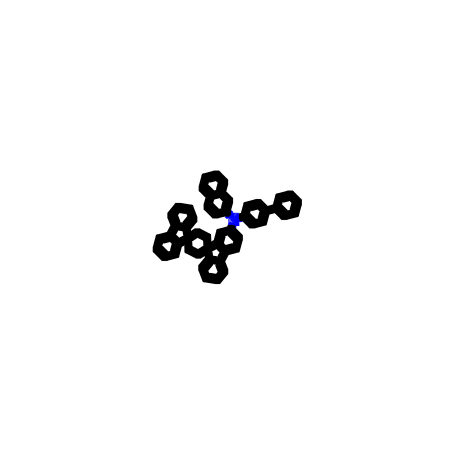 c1ccc(-c2ccc(N(c3ccc4c(c3)C3(CCC5(CC3)c3ccccc3-c3ccccc35)c3ccccc3-4)c3ccc4ccccc4c3)cc2)cc1